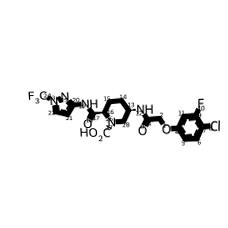 O=C(COc1ccc(Cl)c(F)c1)N[C@H]1CC[C@H](C(=O)Nc2ccn(C(F)(F)F)n2)N(C(=O)O)C1